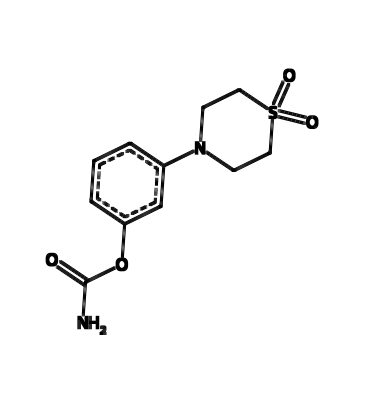 NC(=O)Oc1cccc(N2CCS(=O)(=O)CC2)c1